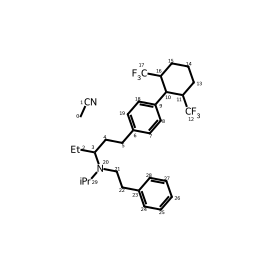 CC#N.CCC(CCc1ccc(C2C(C(F)(F)F)CCCC2C(F)(F)F)cc1)N(CCc1ccccc1)C(C)C